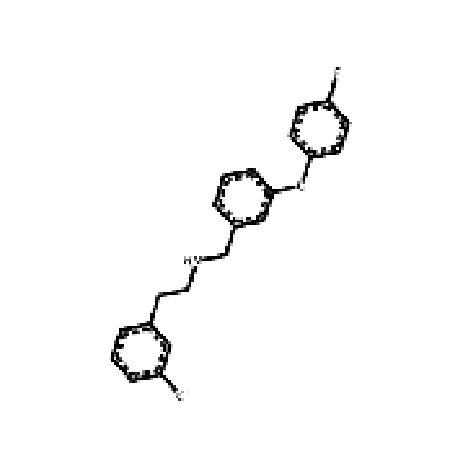 Fc1ccc(Oc2cccc(CNCCc3cccc(Cl)c3)c2)cc1